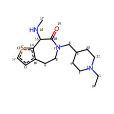 CCN1CCC(CN2CCc3ccsc3C(NC)C2=O)CC1